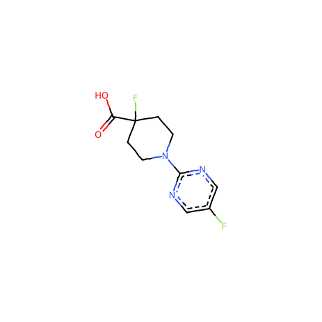 O=C(O)C1(F)CCN(c2ncc(F)cn2)CC1